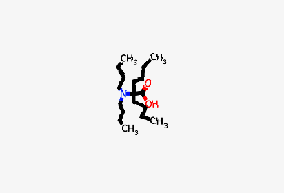 CCCCN(CCCC)C(CCCC)(CCCC)C(=O)O